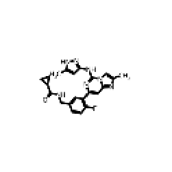 Cc1cn2c(Nc3cc(C)[nH]n3)nc(-c3cc(CNC(=O)C4CC4)ccc3F)cc2n1